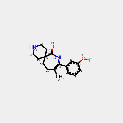 CC1=C(c2cccc(OF)c2)NC(=O)C2(CCNCC2)CC1